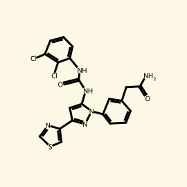 NC(=O)Cc1cccc(-n2nc(-c3cscn3)cc2NC(=O)Nc2cccc(Cl)c2Cl)c1